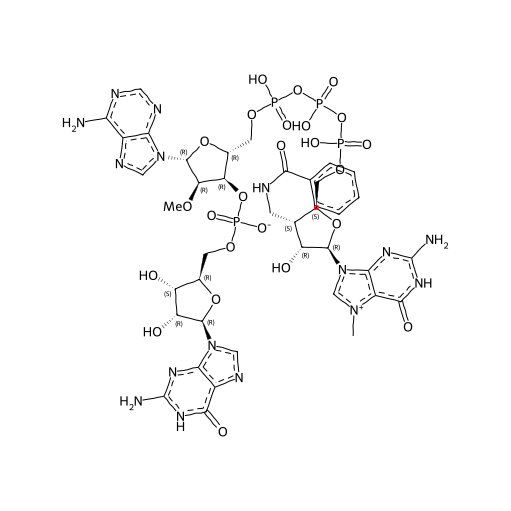 CO[C@@H]1[C@H](OP(=O)([O-])OC[C@H]2O[C@@H](n3cnc4c(=O)[nH]c(N)nc43)[C@H](O)[C@@H]2O)[C@@H](COP(=O)(O)OP(=O)(O)OP(=O)(O)OC[C@H]2O[C@@H](n3c[n+](C)c4c(=O)[nH]c(N)nc43)[C@H](O)[C@@H]2CNC(=O)c2ccccc2)O[C@H]1n1cnc2c(N)ncnc21